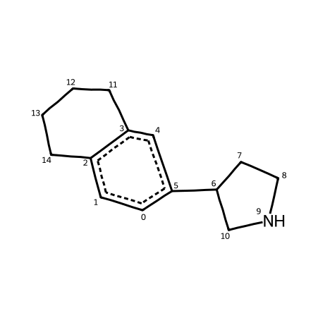 c1cc2c(cc1C1CCNC1)CCCC2